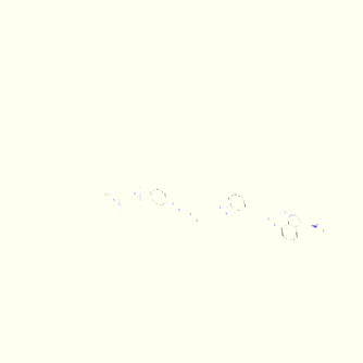 N#Cc1c[nH]c2c(N3CCC(c4cccc(N5CCC(CN6CCN(c7ccc8c(c7)CN(C7CCC(=O)NC7=O)C8=O)CC6)CC5)c4)CC3)ccc(Cl)c12